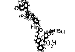 CC(C)(C)OC(=O)N[C@H]1CC[C@H](N(C(=O)O)c2cc(CCCC(=O)NCc3ccc(CNC[C@H](O[Si](C)(C)C(C)(C)C)c4ccc(O)c5[nH]c(=O)ccc45)cc3)ccc2-c2ccccc2)CC1